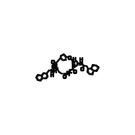 CN1CC(=O)N2C[C@H](NC(=O)Cc3cccc4ccccc34)C[C@H]2COc2ccc(cc2)C(=O)N(C)[C@H](C(=O)NCc2ccc3ccccc3c2)CCC1=O